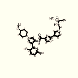 CCO[C@H]1CC[C@H](n2cc(NC(=O)c3csc(-c4cnn(CN[C@H](C(=O)O)C(C)C)c4)n3)c(-c3nc(F)ccc3F)n2)CC1